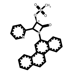 CS(=O)(=O)O[C@H]1C(=O)N(c2cc3c4ccccc4ccc3c3ccccc23)C1c1ccccn1